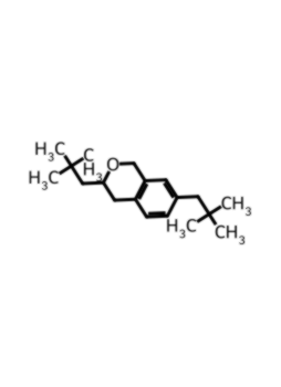 CC(C)(C)Cc1ccc2c(c1)COC(CC(C)(C)C)C2